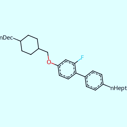 CCCCCCCCCCC1CCC(COc2ccc(-c3ccc(CCCCCCC)cc3)c(F)c2)CC1